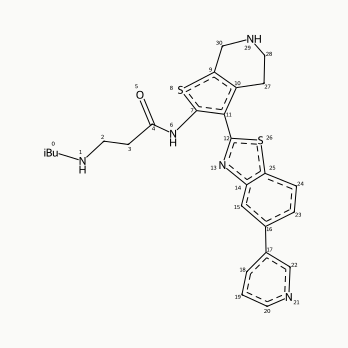 CCC(C)NCCC(=O)Nc1sc2c(c1-c1nc3cc(-c4cccnc4)ccc3s1)CCNC2